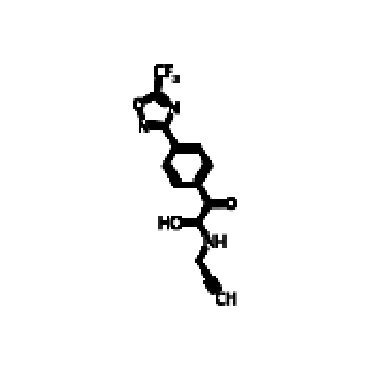 C#CCNC(O)C(=O)c1ccc(-c2noc(C(F)(F)F)n2)cc1